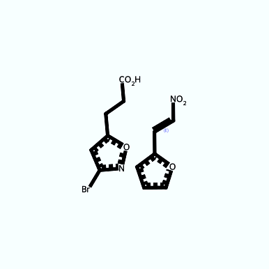 O=C(O)CCc1cc(Br)no1.O=[N+]([O-])/C=C/c1ccco1